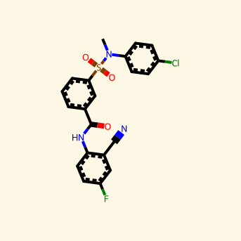 CN(c1ccc(Cl)cc1)S(=O)(=O)c1cccc(C(=O)Nc2ccc(F)cc2C#N)c1